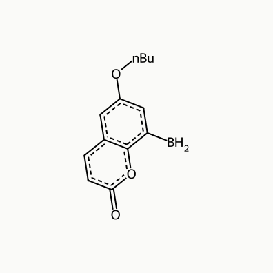 Bc1cc(OCCCC)cc2ccc(=O)oc12